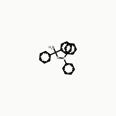 NC(OP(c1ccccc1)c1ccccc1)(c1ccccc1)c1ccccc1